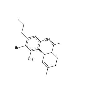 C=C(C)C1CCC(C)=C[C@H]1c1c(O)cc(CCC)c(Br)c1O